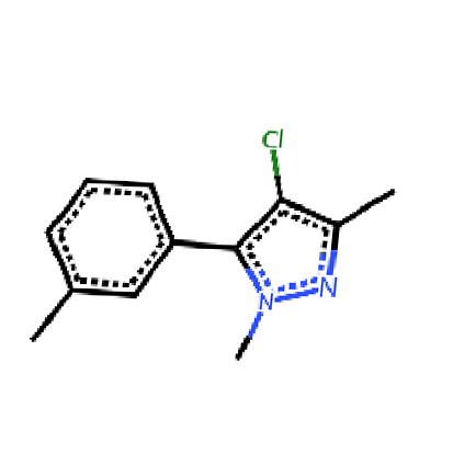 Cc1cccc(-c2c(Cl)c(C)nn2C)c1